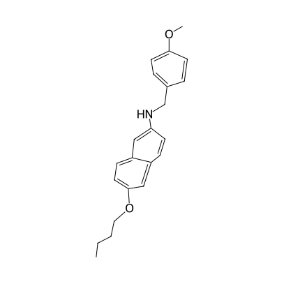 CCCCOc1ccc2cc(NCc3ccc(OC)cc3)ccc2c1